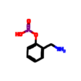 NCc1ccccc1O[PH](=O)O